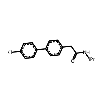 CC(C)NC(=O)Cc1ccc(-c2ccc(Cl)cc2)cc1